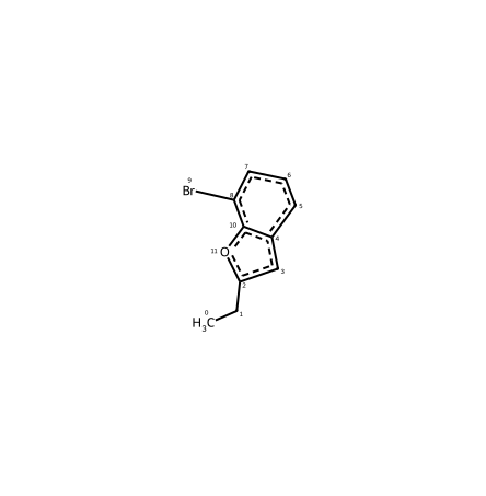 CCc1cc2cccc(Br)c2o1